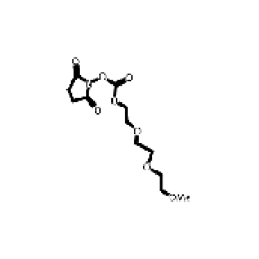 COCCOCCOCCOC(=O)ON1C(=O)CCC1=O